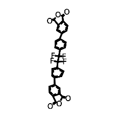 O=C1OC(=O)c2cc(-c3ccc(C(F)(F)C(F)(F)c4ccc(-c5ccc6c(c5)C(=O)OC6=O)cc4)cc3)ccc21